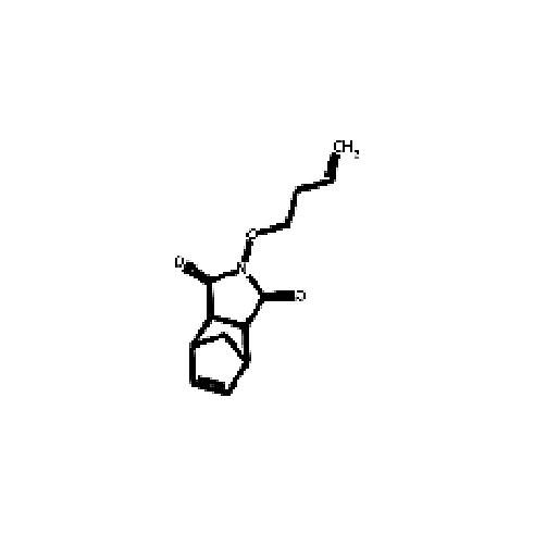 C=CCCON1C(=O)C2C3C=CC(C3)C2C1=O